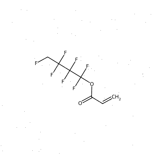 C=CC(=O)OC(F)(F)C(F)(F)C(F)(F)CF